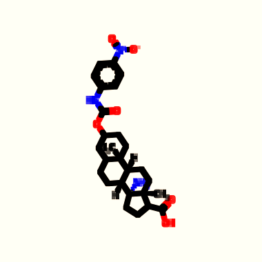 C[C@]12CCC(OC(=O)Nc3ccc([N+](=O)[O-])cc3)CC1CC[C@@H]1[C@H]2CC[C@]2(C)C(C(=O)O)CC[C@@]12N